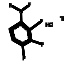 Cl.Fc1ccc(N(F)F)c(F)c1F.[Ti]